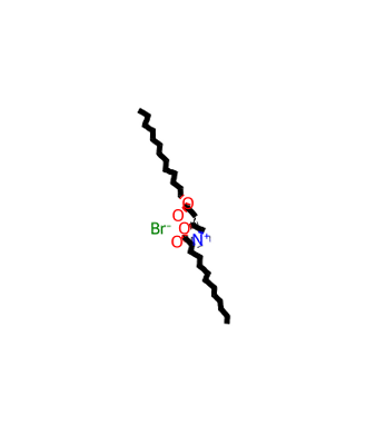 CCCCCCCCCCCCCOC(=O)C[C@H](C[N+](C)(C)C)OC(=O)CCCCCCCCCCCC.[Br-]